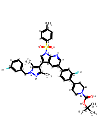 Cc1ccc(S(=O)(=O)n2cc(-c3c(C)nn(Cc4cccc(F)c4)c3C)c3cc(-c4ccc(C5=CCN(C(=O)OC(C)(C)C)CC5)c(F)c4)cnc32)cc1